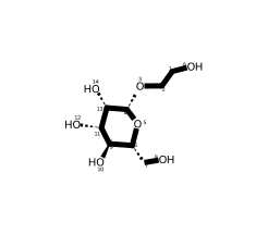 OCCO[C@@H]1O[C@H](CO)[C@@H](O)[C@H](O)[C@@H]1O